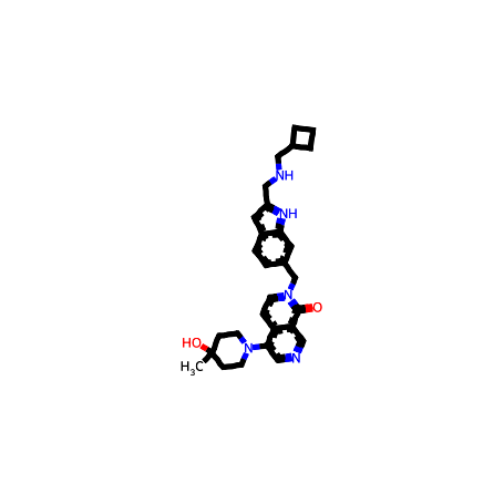 CC1(O)CCN(c2cncc3c(=O)n(Cc4ccc5cc(CNCC6CCC6)[nH]c5c4)ccc23)CC1